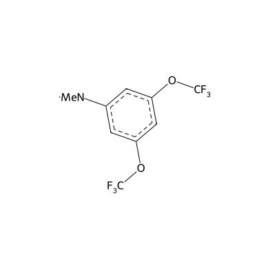 C[N]c1cc(OC(F)(F)F)cc(OC(F)(F)F)c1